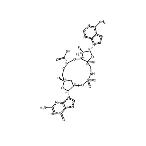 Nc1nc2c(ncn2[C@@H]2O[C@@H]3CO[C@H](C(=O)S)O[C@H]4[C@@H](F)[C@H](n5cnc6c(N)ncnc65)O[C@@H]4CNS(=O)(=O)O[C@@H]2C3)c(=O)[nH]1